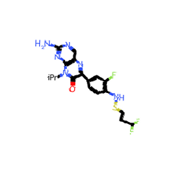 CC(C)n1c(=O)c(-c2ccc(NSCCC(F)F)c(F)c2)nc2cnc(N)nc21